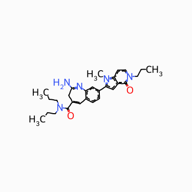 CCCN(CCC)C(=O)C1=Cc2ccc(-c3cc4c(=O)n(CCC)ccc4n3C)cc2N=C(N)C1